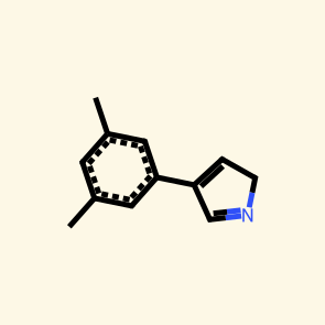 Cc1cc(C)cc(C2=CCN=C2)c1